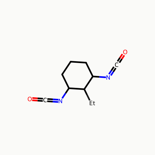 CCC1C(N=C=O)CCCC1N=C=O